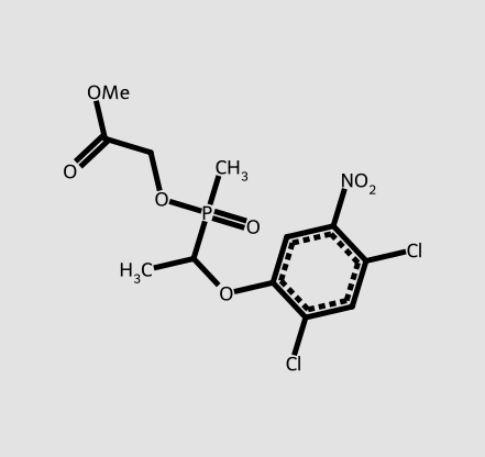 COC(=O)COP(C)(=O)C(C)Oc1cc([N+](=O)[O-])c(Cl)cc1Cl